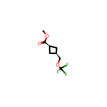 COC(=O)[C@H]1C[C@@H](COC(F)(F)F)C1